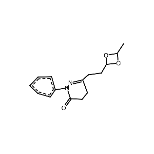 CC1OC(CCC2=NN(c3ccccc3)C(=O)CC2)O1